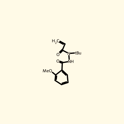 C=CC(=O)N(NC(=O)c1ccccc1OC)C(C)(C)C